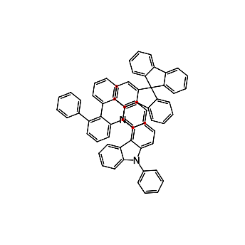 c1ccc(-c2ccccc2-c2c(-c3ccccc3)cccc2N(c2cccc3c2-c2ccccc2C32c3ccccc3-c3ccccc32)c2cccc3c2c2ccccc2n3-c2ccccc2)cc1